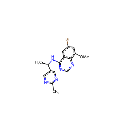 COc1cc(Br)cc2c(N[C@H](C)c3cnc(C(F)(F)F)nc3)ncnc12